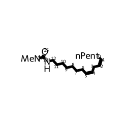 CCCCC/C=C\C/C=C\CCCCCCCNC(=O)NC